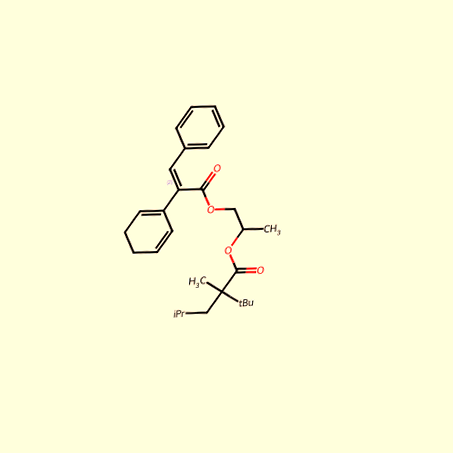 CC(C)CC(C)(C(=O)OC(C)COC(=O)/C(=C\c1ccccc1)C1=CCCC=C1)C(C)(C)C